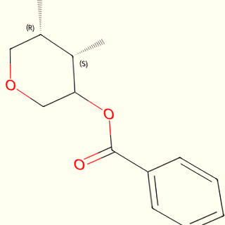 C[C@@H]1C(OC(=O)c2ccccc2)COC[C@@H]1C